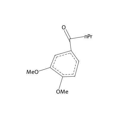 C[CH]CC(=O)c1ccc(OC)c(OC)c1